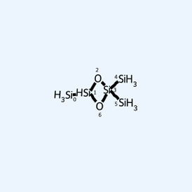 [SiH3][SiH]1O[Si]([SiH3])([SiH3])O1